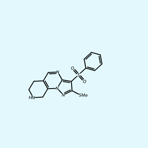 CSc1nn2c3c(cnc2c1S(=O)(=O)c1ccccc1)CCNC3